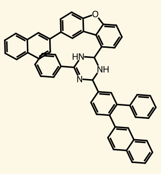 c1ccc(C2=NC(c3ccc(-c4ccc5ccccc5c4)c(-c4ccccc4)c3)NC(c3cccc4oc5ccc(-c6ccc7ccccc7c6)cc5c34)N2)cc1